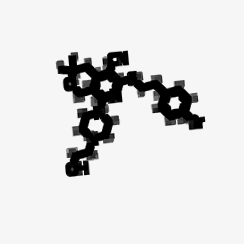 CC1(C)Cc2c(C#N)c(SCCc3ccc(Br)cc3)nc(N3CCN(CCO)CC3)c2CO1